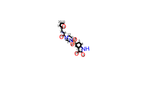 O=C1Nc2ccc(S(=O)(=O)N3CCN(C(=O)/C=C/c4ccco4)CC3)cc2C1=O